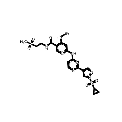 CC(C)Nc1cc(Nc2ccnc(-c3cnn(S(=O)(=O)C4CC4)c3)n2)ncc1C(=O)NCCS(C)(=O)=O